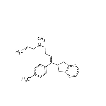 C=CCN(C)CCC=C(c1ccc(C)cc1)C1Cc2ccccc2C1